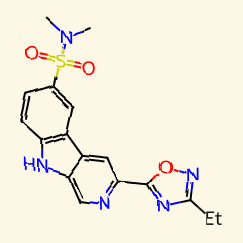 CCc1noc(-c2cc3c(cn2)[nH]c2ccc(S(=O)(=O)N(C)C)cc23)n1